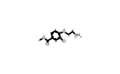 COC(=O)c1ccc(OCCN)c(Cl)c1